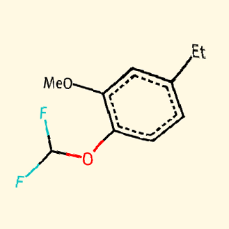 CCc1ccc(OC(F)F)c(OC)c1